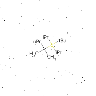 CCCC(C)(C)S(C(C)C)(C(C)C)C(C)(C)C